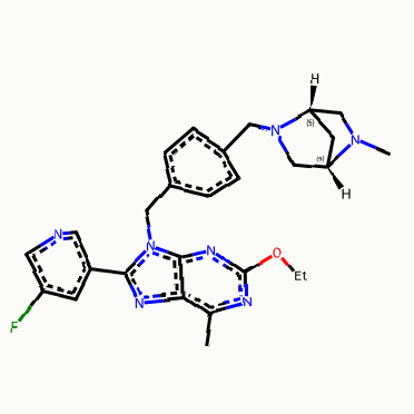 CCOc1nc(C)c2nc(-c3cncc(F)c3)n(Cc3ccc(CN4C[C@@H]5C[C@H]4CN5C)cc3)c2n1